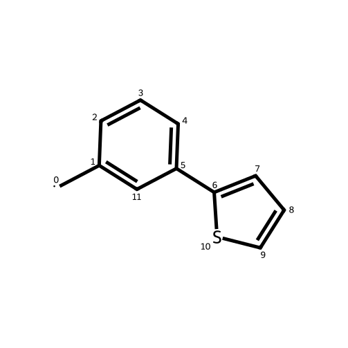 [CH2]c1cccc(-c2cccs2)c1